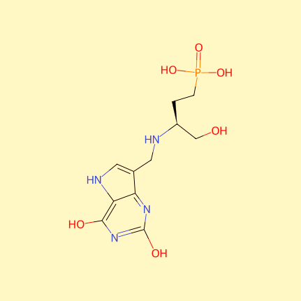 O=P(O)(O)CC[C@@H](CO)NCc1c[nH]c2c(O)nc(O)nc12